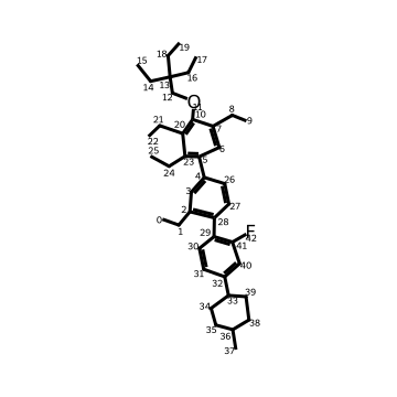 CCc1cc(-c2cc(CC)c(OCC(CC)(CC)CC)c(CC)c2CC)ccc1-c1ccc(C2CCC(C)CC2)cc1F